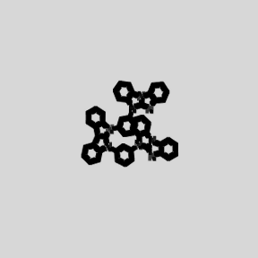 c1cc(-n2c3ccccc3c3c4ccccc4n(-c4cccc(-n5c6ccccc6n6c7ccccc7nc56)c4)c32)cc(-n2c3ccccc3n3c4ccccc4nc23)c1